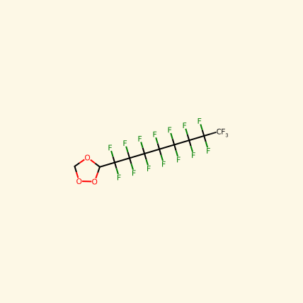 FC(F)(F)C(F)(F)C(F)(F)C(F)(F)C(F)(F)C(F)(F)C(F)(F)C(F)(F)C1OCOO1